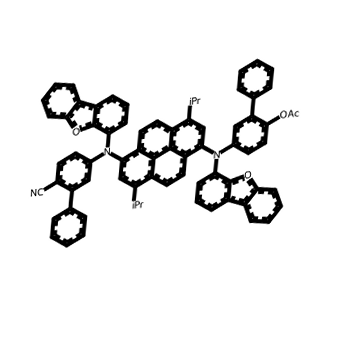 CC(=O)Oc1ccc(N(c2cc(C(C)C)c3ccc4c(N(c5ccc(C#N)c(-c6ccccc6)c5)c5cccc6c5oc5ccccc56)cc(C(C)C)c5ccc2c3c54)c2cccc3c2oc2ccccc23)cc1-c1ccccc1